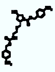 O=C(NCCSC[C@@H]1C[C@@H](O)CN1C(=O)OCc1ccc([N+](=O)[O-])cc1)OCc1ccc([N+](=O)[O-])cc1